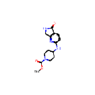 CC(C)(C)OC(=O)N1CCC(Nc2ccc3c(n2)CNC3=O)CC1